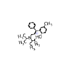 Cc1ccc(O)c(/C(=C/CN(C(C)C)C(C)C)c2ccccc2)c1